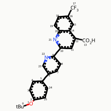 CC(C)(C)Oc1ccc(-c2ccc(-c3cc(C(=O)O)c4cc(C(F)(F)F)ccc4n3)nc2)cc1